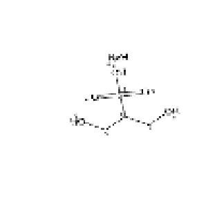 O=S(=O)(O)C(CO)CO.[NaH]